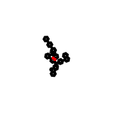 CC1(C)c2ccccc2-c2ccc(N(c3ccc(-c4ccccc4-n4c5ccccc5c5ccc(-c6ccc(-c7ccccc7)cc6)cc54)cc3)c3ccc(-c4cccc5ccccc45)cc3)cc21